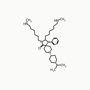 CNCCCCCCC1N(CCCCCCNC)C(=O)C2(CCN([C@H]3CC[C@H](C(C)C)CC3)CC2)N1c1ccccc1